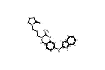 CC(C)N(CCCN1CCCC1=O)Cc1ccc(Oc2nc3ccccc3s2)cc1